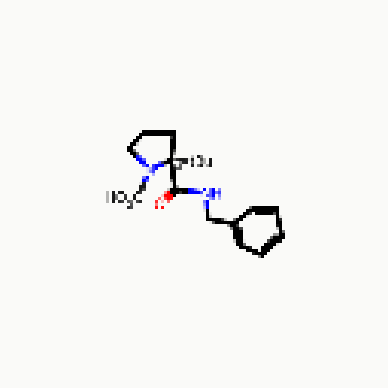 CC(C)(C)[C@]1(C(=O)NCc2ccccc2)CCCN1C(=O)O